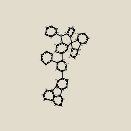 c1ccc(-c2nc(-c3ccc4c(c3)-c3cccc5cccc-4c35)nnc2-c2ccc3c(c2)C2(c4ccccc4-c4ccccc42)c2ccccc2N3c2ccccc2)cc1